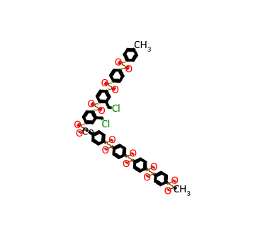 Cc1ccc(S(=O)(=O)c2ccc(S(=O)(=O)c3ccc(S(=O)(=O)c4ccc([S](=O)(=O)[Co][c]5ccc(S(=O)(=O)c6ccc(S(=O)(=O)c7ccc(S(=O)(=O)c8ccc(S(C)(=O)=O)cc8)cc7)cc6)cc5)cc4CCl)c(CCl)c3)cc2)cc1